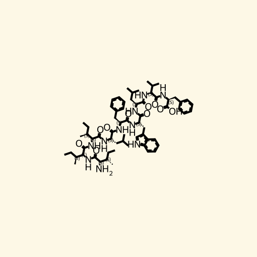 CC[C@H](C)[C@H](N)C(=O)N[C@H](C(=O)N[C@H](C(=O)N[C@@H](CC(C)C)C(=O)N[C@@H](Cc1ccccc1)C(=O)N[C@@H](Cc1c[nH]c2ccccc12)C(=O)N[C@@H](CC(C)C)C(=O)N[C@H](C(=O)N[C@@H](Cc1ccccc1)C(=O)O)C(C)C)[C@@H](C)CC)[C@@H](C)CC